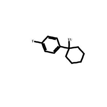 C[CH]C1(c2ccc(F)cc2)CCCCC1